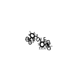 O=[N+]([O-])c1cccc(COCc2cccc([N+](=O)[O-])c2F)c1F